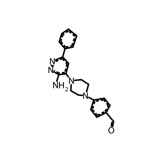 Nc1nnc(-c2ccccc2)cc1N1CCN(c2ccc(C=O)cc2)CC1